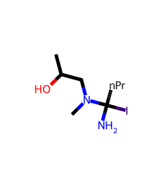 CCCC(N)(I)N(C)CC(C)O